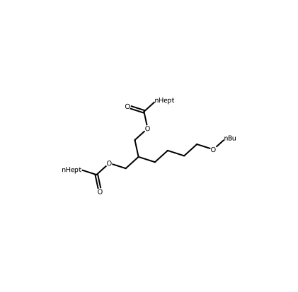 CCCCCCCC(=O)OCC(CCCCOCCCC)COC(=O)CCCCCCC